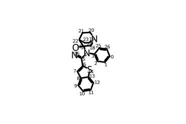 c1ccc(N2C(c3cc4ccccc4s3)=NOC23CN2CCC3CC2)cc1